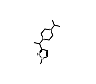 CC(C)N1CCN(C(C)c2ccn(C)n2)CC1